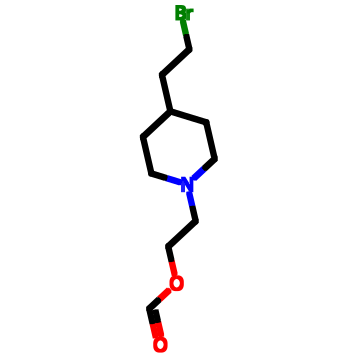 O=COCCN1CCC(CCBr)CC1